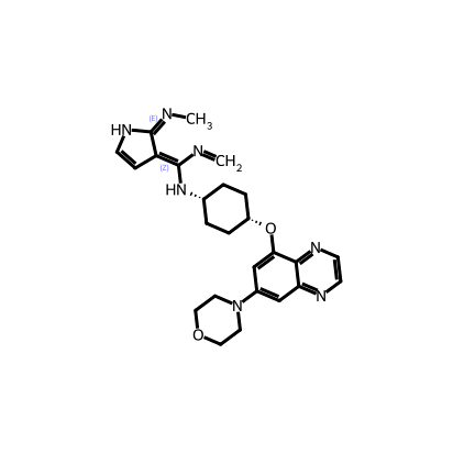 C=N/C(N[C@H]1CC[C@@H](Oc2cc(N3CCOCC3)cc3nccnc23)CC1)=C1/C=CN/C1=N/C